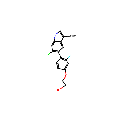 O=Cc1c[nH]c2cc(Cl)c(-c3ccc(OCCO)cc3F)cc12